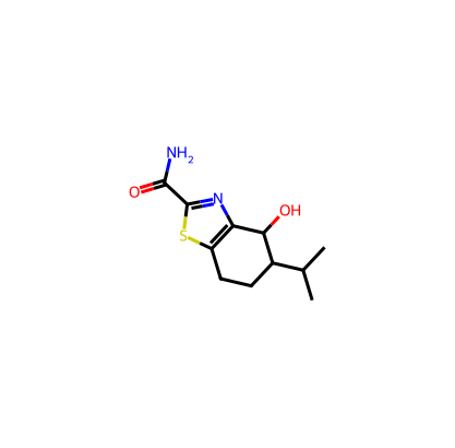 CC(C)C1CCc2sc(C(N)=O)nc2C1O